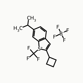 CC(C)c1ccc2cc(C3CCC3)[s+](C(F)(F)F)c2c1.F[B-](F)(F)F